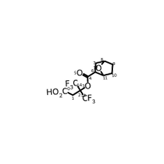 O=C(O)CC(OC(=O)C1CC2CCC1O2)(C(F)(F)F)C(F)(F)F